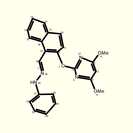 COc1cc(OC)nc(Oc2ccc3ccccc3c2/C=N/Nc2ccccc2)n1